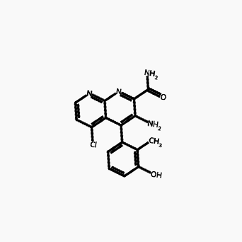 Cc1c(O)cccc1-c1c(N)c(C(N)=O)nc2nccc(Cl)c12